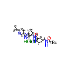 CC(C)(C)C(=O)NCc1ccc(Cl)c(C(=O)Nc2cccc3c2cnn3-c2ccc(C3CC3)nc2)c1.Cl